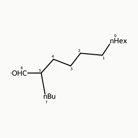 CCCCCCCCCCC([C]=O)CCCC